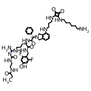 CCC(=O)NCCNC(=O)/N=C(/N)NCCC[C@@H](NC(=O)[C@H](c1ccccc1)N1Cc2cccc(NCCCNc3c(NCCCCCCN)c(=O)c3=O)c2C1)C(=O)NCc1c(F)cc(O)cc1F